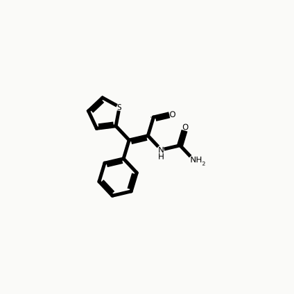 NC(=O)NC([C]=O)=C(c1ccccc1)c1cccs1